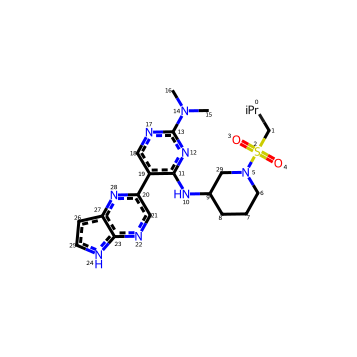 CC(C)CS(=O)(=O)N1CCCC(Nc2nc(N(C)C)ncc2-c2cnc3[nH]ccc3n2)C1